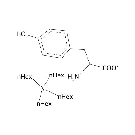 CCCCCC[N+](CCCCCC)(CCCCCC)CCCCCC.NC(Cc1ccc(O)cc1)C(=O)[O-]